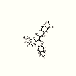 Cc1cc(NC(=O)C(=O)N2C[C@H](C)C(F)(F)C[C@H]2c2ccc3scnc3c2)cnc1N